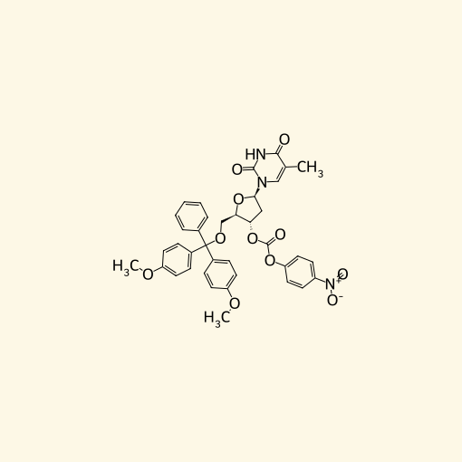 COc1ccc(C(OC[C@H]2O[C@@H](n3cc(C)c(=O)[nH]c3=O)C[C@@H]2OC(=O)Oc2ccc([N+](=O)[O-])cc2)(c2ccccc2)c2ccc(OC)cc2)cc1